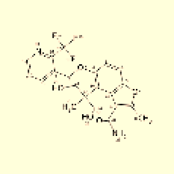 Cc1oc2ccc(OCc3cccnc3C(F)(F)F)c(C(C)(CO)CO)c2c1C(N)=O